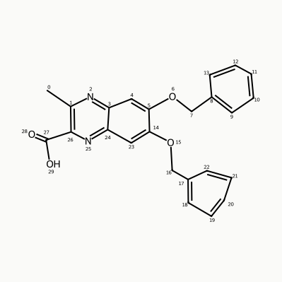 Cc1nc2cc(OCc3ccccc3)c(OCc3ccccc3)cc2nc1C(=O)O